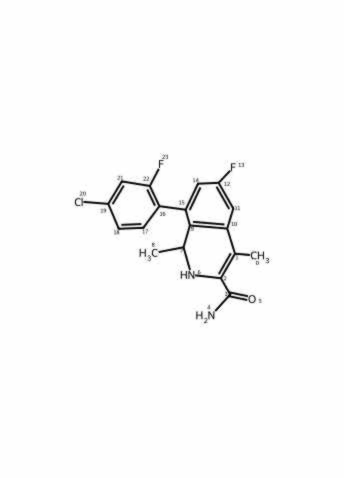 CC1=C(C(N)=O)NC(C)c2c1cc(F)cc2-c1ccc(Cl)cc1F